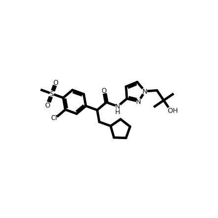 CC(C)(O)Cn1ccc(NC(=O)C(CC2CCCC2)c2ccc(S(C)(=O)=O)c(Cl)c2)n1